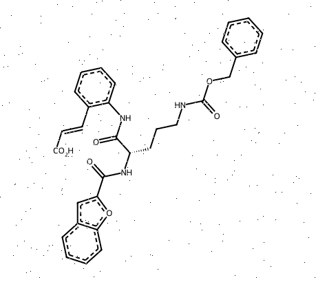 O=C(O)/C=C/c1ccccc1NC(=O)[C@H](CCCNC(=O)OCc1ccccc1)NC(=O)c1cc2ccccc2o1